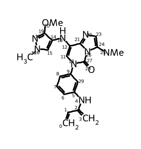 C=CC(=C)Nc1cccc(-n2cc(Nc3cn(C)nc3OC)c3ncc(NC)n3c2=O)c1